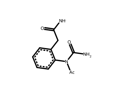 CC(=O)N(C(N)=O)c1ccccc1CC([NH])=O